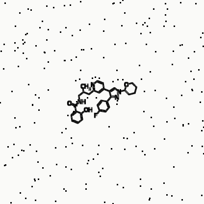 CC(CNC(=O)c1ccccc1O)Cc1cc(-c2cn(C3CCCCO3)nc2-c2ccc(F)cc2)ccn1